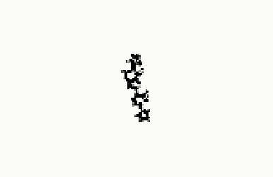 O=C1C2SC(c3ccc(N4CCCC4)nc3F)=NC2CCN1c1cscn1